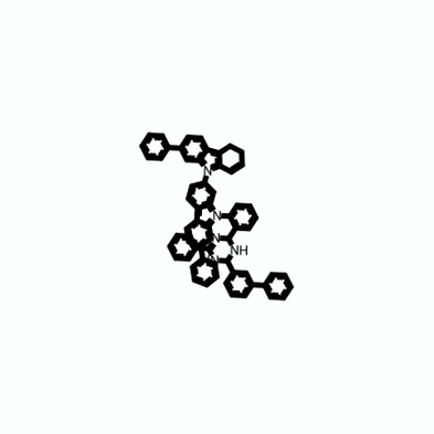 C1=Cc2c(c3ccc(-c4ccccc4)cc3n2-c2ccc3c4ccc(-c5ccccc5)cc4n(-c4ccccc4C4N=C(c5ccccc5)NC(c5cccc(-c6ccccc6)c5)N4)c3c2)CC1